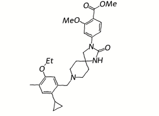 CCOc1cc(CN2CCC3(CC2)CN(c2ccc(C(=O)OC)c(OC)c2)C(=O)N3)c(C2CC2)cc1C